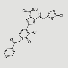 CC(C)(C)C(=O)n1nc(-c2ccn(CC(=O)c3ccncc3)c(=O)c2Cl)cc1NCc1ccc(Cl)s1